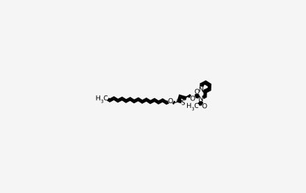 CCCCCCCCCCCCCCCCOC[C@@H]1C[C@@H](COC(=O)N(Cc2ccccn2)C(C)=O)S1